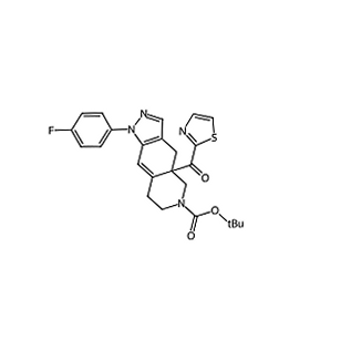 CC(C)(C)OC(=O)N1CCC2=Cc3c(cnn3-c3ccc(F)cc3)CC2(C(=O)c2nccs2)C1